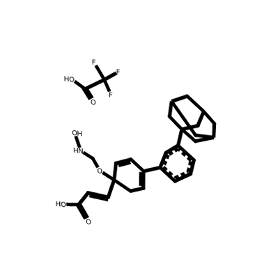 O=C(O)C(F)(F)F.O=C(O)C=CC1(OCNO)C=CC(c2cccc(C34CC5CC(CC(C5)C3)C4)c2)=CC1